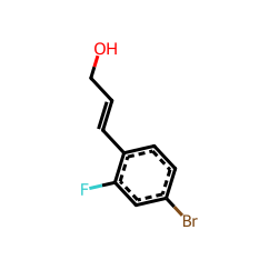 OC/C=C/c1ccc(Br)cc1F